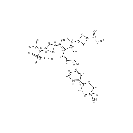 C=CC(=O)N1CC(c2ccc(N3C[C@H](N(C(C)C)S(C)(=O)=O)[C@H]3C)c3cnc(Nc4ccnc(N5CCC(C)(O)CC5)n4)cc23)C1